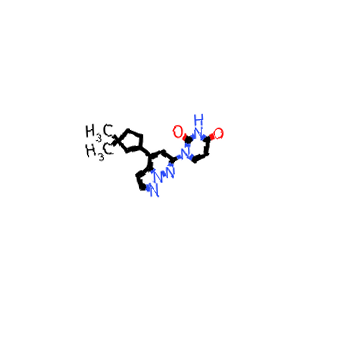 CC1(C)C=C(c2cc(-n3ccc(=O)[nH]c3=O)nn3nccc23)CC1